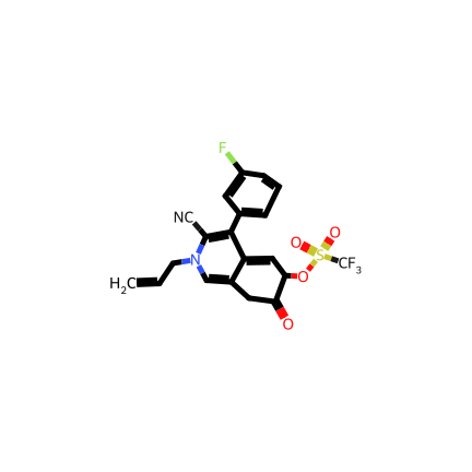 C=CCN1C=C2CC(=O)C(OS(=O)(=O)C(F)(F)F)C=C2C(c2cccc(F)c2)=C1C#N